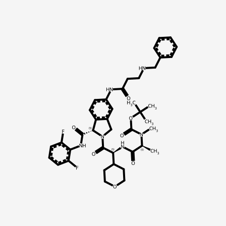 C[C@@H](C(=O)N[C@H](C(=O)N1Cc2cc(NC(=O)CCNCc3ccccc3)ccc2[C@H]1C(=O)Nc1c(F)cccc1F)C1CCOCC1)N(C)C(=O)OC(C)(C)C